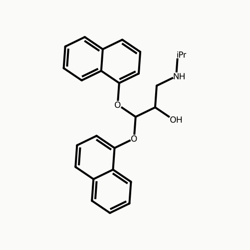 CC(C)NCC(O)C(Oc1cccc2ccccc12)Oc1cccc2ccccc12